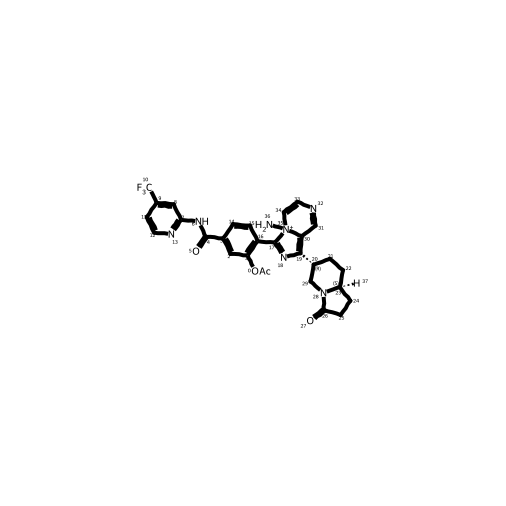 CC(=O)Oc1cc(C(=O)Nc2cc(C(F)(F)F)ccn2)ccc1C1=NC([C@@H]2CC[C@H]3CCC(=O)N3C2)=C2C=NC=C[N+]12N